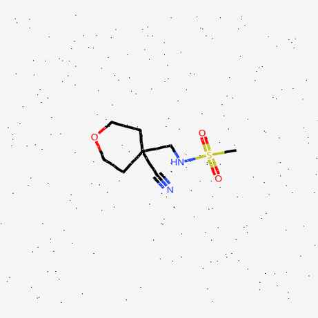 CS(=O)(=O)NCC1(C#N)CCOCC1